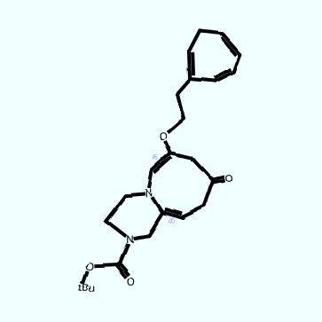 CC(C)(C)OC(=O)N1CCN2/C=C(/OCCC3=CCC=CC=C3)CC(=O)C/C=C\2C1